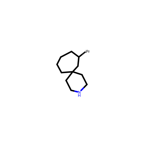 CC(C)C1CCCCC2(CCNCC2)C1